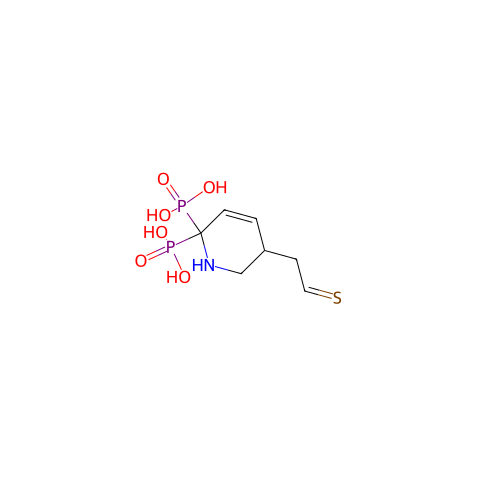 O=P(O)(O)C1(P(=O)(O)O)C=CC(CC=S)CN1